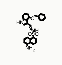 Nc1cccc2c(S(=O)(=O)NN=Cc3c[nH]c4cccc(OCc5ccccc5)c34)cccc12